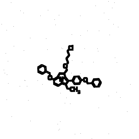 CCc1c(-c2ccc(OCc3ccccc3)cc2)c2c(COCCCCCl)cc3c(OCc4ccccc4)ccc1n32